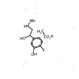 CC(=O)O.CC(C)(C)NCC(O)c1ccc(F)c(O)c1